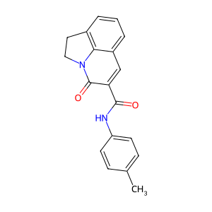 Cc1ccc(NC(=O)c2cc3cccc4c3n(c2=O)CC4)cc1